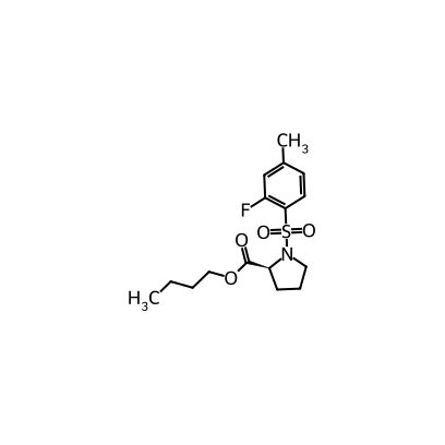 CCCCOC(=O)[C@@H]1CCCN1S(=O)(=O)c1ccc(C)cc1F